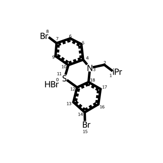 Br.CC(C)CN1c2ccc(Br)cc2Sc2cc(Br)ccc21